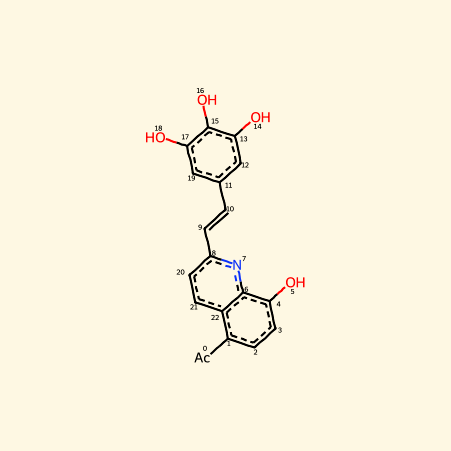 CC(=O)c1ccc(O)c2nc(C=Cc3cc(O)c(O)c(O)c3)ccc12